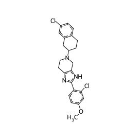 COc1ccc(-c2nc3c([nH]2)CN(C2CCc4ccc(Cl)cc4C2)CC3)c(Cl)c1